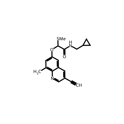 C#Cc1cnc2c(C)cc(OC(SC)C(=O)NCC3CC3)cc2c1